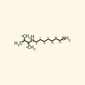 CC(C)C(C)NCCCCCCCN